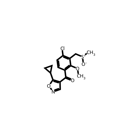 COc1c(C(=O)c2cnoc2C2CC2)ccc(Cl)c1C[S+](C)[O-]